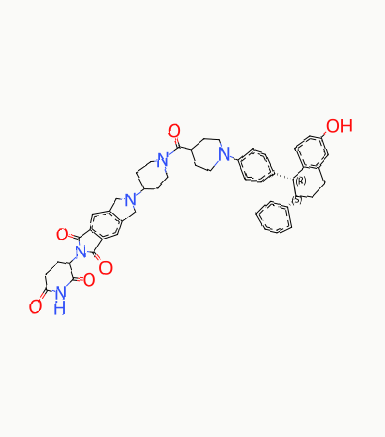 O=C1CCC(N2C(=O)c3cc4c(cc3C2=O)CN(C2CCN(C(=O)C3CCN(c5ccc([C@@H]6c7ccc(O)cc7CC[C@@H]6c6ccccc6)cc5)CC3)CC2)C4)C(=O)N1